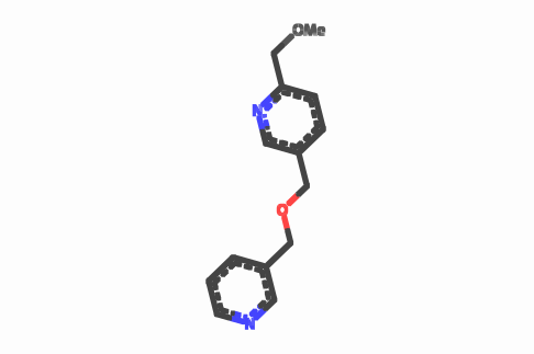 COCc1ccc(COCc2cccnc2)cn1